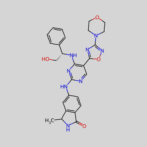 CC1NC(=O)c2ccc(Nc3ncc(-c4nc(N5CCOCC5)no4)c(N[C@H](CO)c4ccccc4)n3)cc21